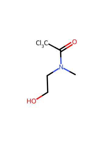 CN(CCO)C(=O)C(Cl)(Cl)Cl